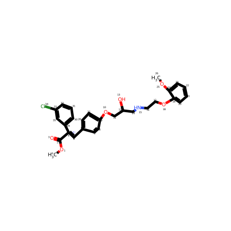 COC(=O)/C(=C/c1ccc(OCC(O)CNCCOc2ccccc2OC)cc1)c1cccc(Cl)c1